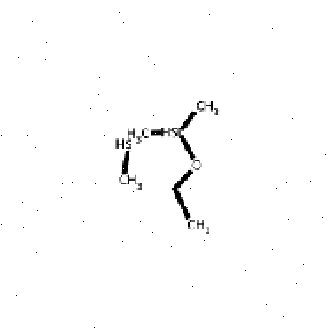 CCO[SiH](C)C.CS